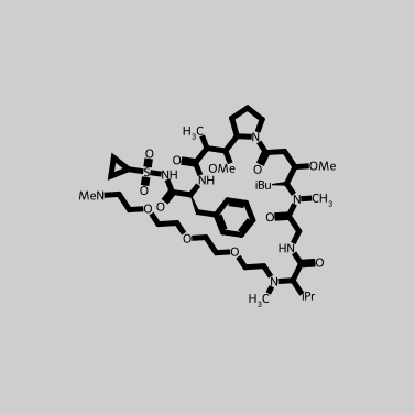 CC[C@H](C)C(C(CC(=O)N1CCCC1C(OC)C(C)C(=O)N[C@@H](Cc1ccccc1)C(=O)NS(=O)(=O)C1CC1)OC)N(C)C(=O)CNC(=O)C(C(C)C)N(C)CCOCCOCCOCCNC